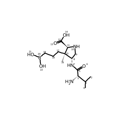 CC(C)[C@H](N)C(=O)N[C@H]1CN[C@H](C(=O)O)[C@]1(C)CCCB(O)O